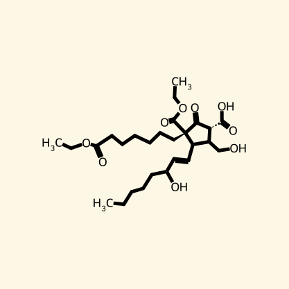 CCCCCC(O)C=CC1C(CO)[C@@H](C(=O)O)C(=O)[C@@]1(CCCCCCC(=O)OCC)C(=O)OCC